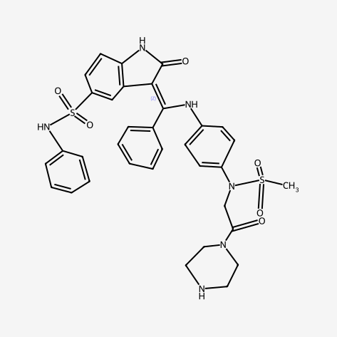 CS(=O)(=O)N(CC(=O)N1CCNCC1)c1ccc(N/C(=C2\C(=O)Nc3ccc(S(=O)(=O)Nc4ccccc4)cc32)c2ccccc2)cc1